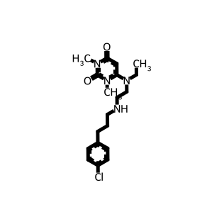 CCN(CCNCCCc1ccc(Cl)cc1)c1cc(=O)n(C)c(=O)n1C